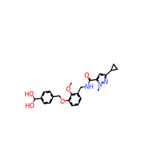 COc1c(CNC(=O)c2cc(C3CC3)nn2C)cccc1OCc1ccc(C(O)O)cc1